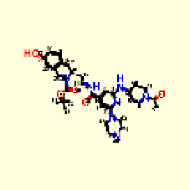 CC(=O)N1CCC(Nc2cc(C(=O)NCC[C@@H]3Cc4ccc(O)cc4CN3C(=O)OC(C)(C)C)cc(N3CCN(C)CC3)n2)CC1